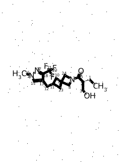 CC[C@H](CO)C(=O)N1CC2(CC(Cc3cn(C)nc3C(F)(F)F)C2)C1